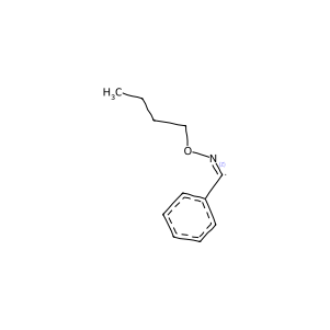 CCCCO/N=[C]\c1ccccc1